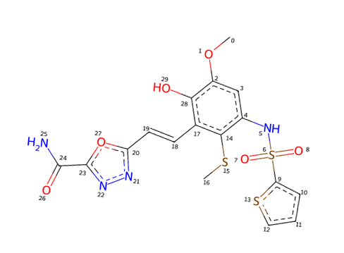 COc1cc(NS(=O)(=O)c2cccs2)c(SC)c(C=Cc2nnc(C(N)=O)o2)c1O